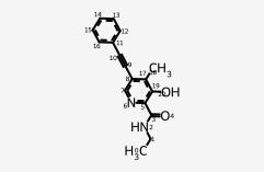 CCNC(=O)c1ncc(C#Cc2ccccc2)c(C)c1O